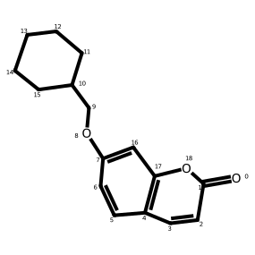 O=c1ccc2ccc(OCC3CCCCC3)cc2o1